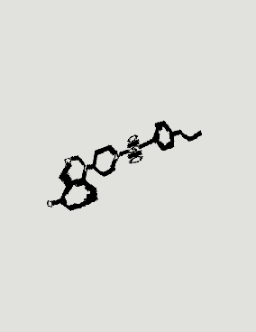 CCCc1ccc(S(=O)(=O)N2CCC(N3COCc4c(Cl)cccc43)CC2)cc1